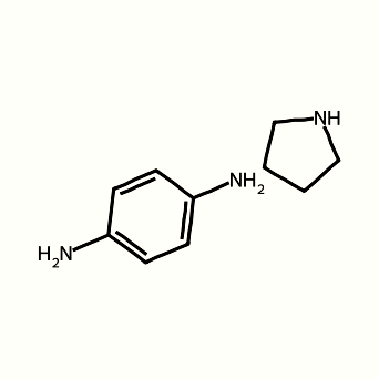 C1CCNC1.Nc1ccc(N)cc1